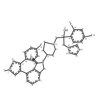 Cn1cc(-c2ccnc3c2C(=O)N(C2CCN(CC(O)(Cn4cncn4)c4ccc(F)cc4F)CC2)C3)c(-c2ccc(F)cc2)n1